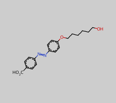 O=C(O)c1ccc(N=Nc2ccc(OCCCCCCO)cc2)cc1